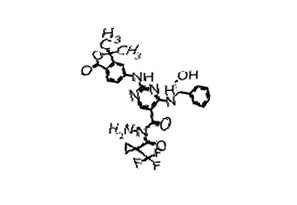 CC1(C)OC(=O)c2ccc(Nc3ncc(C(=O)N(N)C(=O)C4(C(F)(F)F)CC4)c(N[C@H](CO)c4ccccc4)n3)cc21